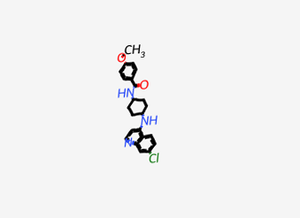 COc1ccc(C(=O)NC2CCC(Nc3ccnc4cc(Cl)ccc34)CC2)cc1